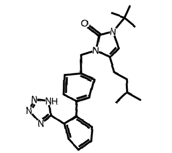 CC(C)CCc1cn(C(C)(C)C)c(=O)n1Cc1ccc(-c2ccccc2-c2nnn[nH]2)cc1